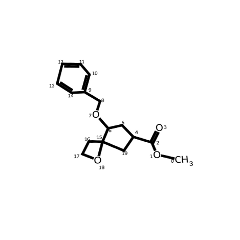 COC(=O)C1CC(OCc2ccccc2)C2(CCO2)C1